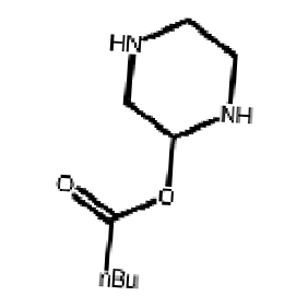 [CH2]CCCC(=O)OC1CNCCN1